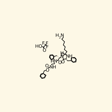 NCCCCCCCC(=O)N[C@@H](Cc1ccccc1)C(=O)N[C@@H](Cc1ccccc1)C(=O)NCCNC(=O)OCc1ccccc1.O=C(O)C(F)(F)F